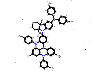 Cc1cc2c3c(c1)N(c1cccc(C(C)(C)C)c1)c1cc(C(C)(C)C)ccc1B3c1ccc(N3c4ccc(C(c5ccc(C(C)(C)C)cc5)c5ccc(C(C)(C)C)cc5)cc4C4(C)CCCCC34C)cc1N2c1ccc(C(C)(C)C)cc1